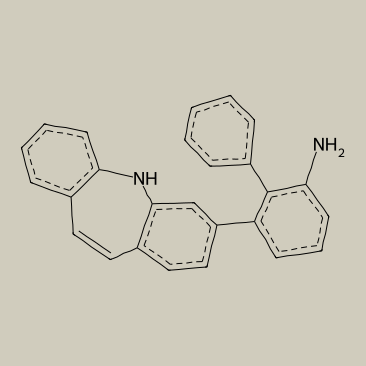 Nc1cccc(-c2ccc3c(c2)Nc2ccccc2C=C3)c1-c1ccccc1